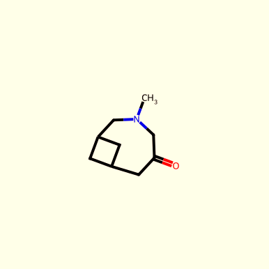 CN1CC(=O)CC2CC(C2)C1